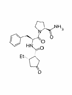 CC[C@H]1CC(=O)C[C@H]1C(=O)N[C@@H](Cc1ccccc1)C(=O)N1CCC[C@H]1C(N)=O